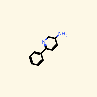 NC1C=CC(c2ccccc2)=NC1